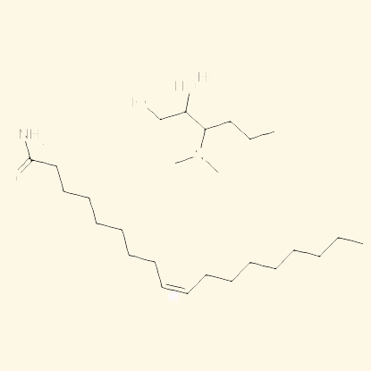 CCCC(C(O)CO)N(C)C.CCCCCCCC/C=C\CCCCCCCC(N)=O.Cl